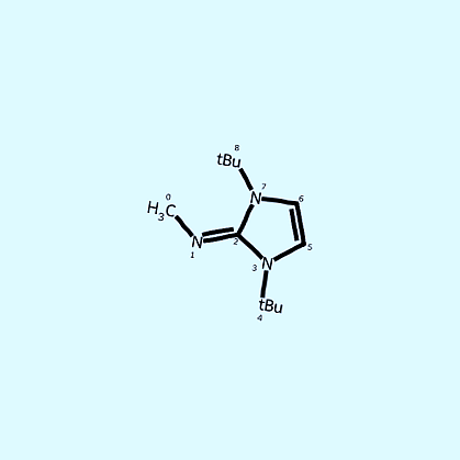 CN=c1n(C(C)(C)C)ccn1C(C)(C)C